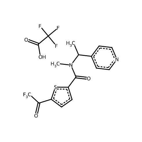 CC(c1ccncc1)N(C)C(=O)c1ccc(C(=O)C(F)(F)F)s1.O=C(O)C(F)(F)F